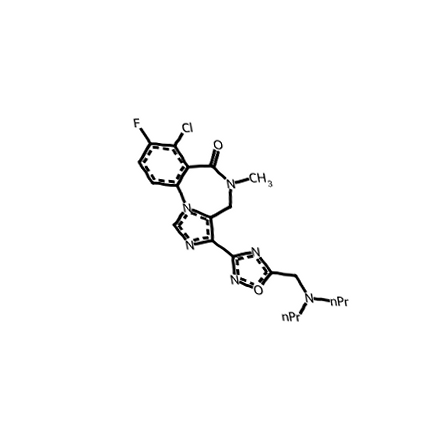 CCCN(CCC)Cc1nc(-c2ncn3c2CN(C)C(=O)c2c-3ccc(F)c2Cl)no1